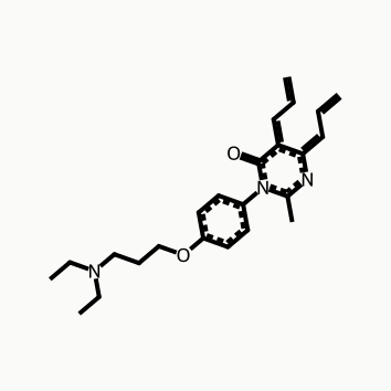 C=C/C=c1/nc(C)n(-c2ccc(OCCCN(CC)CC)cc2)c(=O)/c1=C/C=C